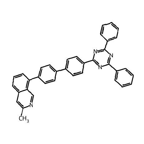 Cc1cc2cccc(-c3ccc(-c4ccc(-c5nc(-c6ccccc6)nc(-c6ccccc6)n5)cc4)cc3)c2cn1